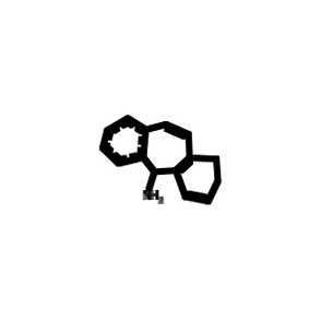 NC1C2=C(C=Cc3ccccc31)CCC=C2